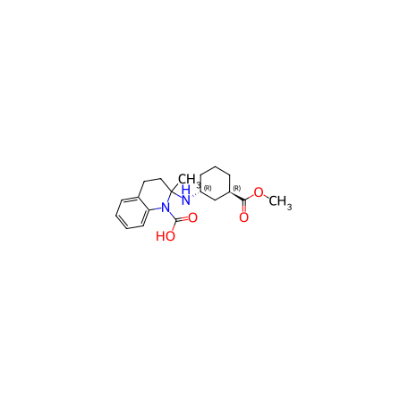 COC(=O)[C@@H]1CCC[C@@H](NC2(C)CCc3ccccc3N2C(=O)O)C1